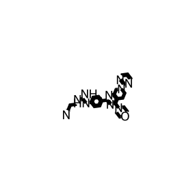 N#CCC/N=C(/N)Nc1ccc(-c2nc3c(c(N4CCOCC4)n2)CCN(c2ncccn2)C3)cc1